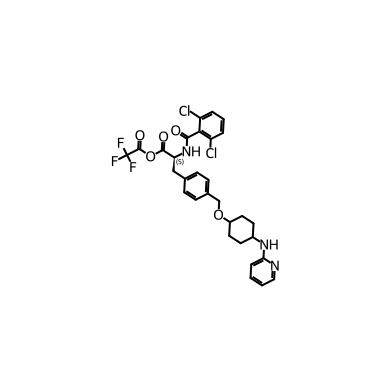 O=C(N[C@@H](Cc1ccc(COC2CCC(Nc3ccccn3)CC2)cc1)C(=O)OC(=O)C(F)(F)F)c1c(Cl)cccc1Cl